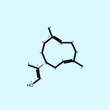 C/C1=C\C[C@H](/C(C)=C/O)CC/C(C)=C/CC1